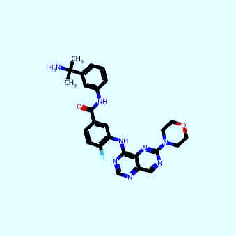 CC(C)(N)c1cccc(NC(=O)c2ccc(F)c(Nc3ncnc4cnc(N5CCOCC5)nc34)c2)c1